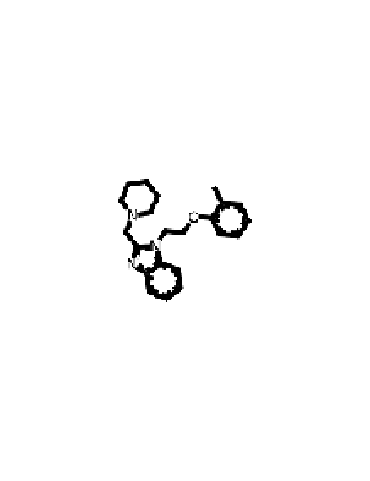 Cc1ccccc1OCCn1c(CN2CCCCC2)nc2ccccc21